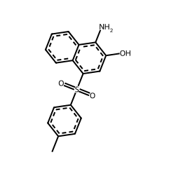 Cc1ccc(S(=O)(=O)c2cc(O)c(N)c3ccccc23)cc1